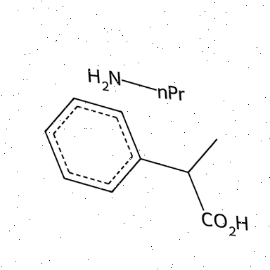 CC(C(=O)O)c1ccccc1.CCCN